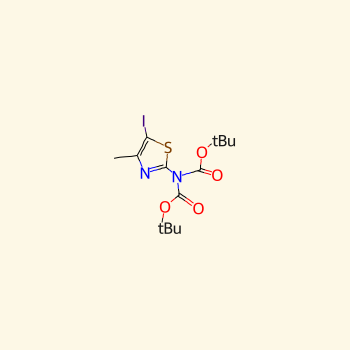 Cc1nc(N(C(=O)OC(C)(C)C)C(=O)OC(C)(C)C)sc1I